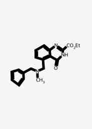 CCOC(=O)c1nc2cccc(CN(C)Cc3ccccc3)c2c(=O)[nH]1